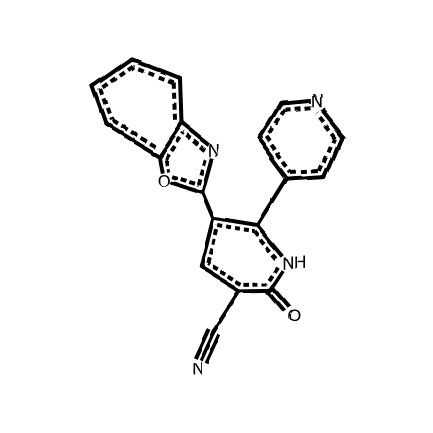 N#Cc1cc(-c2nc3ccccc3o2)c(-c2ccncc2)[nH]c1=O